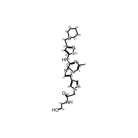 Cc1cn2c(-c3cnn(CC(=O)NCCO)c3)cnc2c(Nc2cc(CN3CCCCC3)ns2)n1